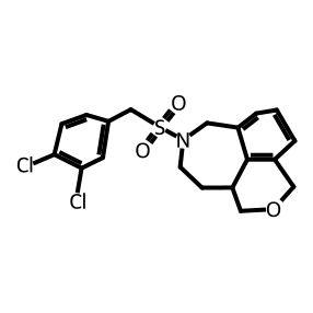 O=S(=O)(Cc1ccc(Cl)c(Cl)c1)N1CCC2COCc3cccc(c32)C1